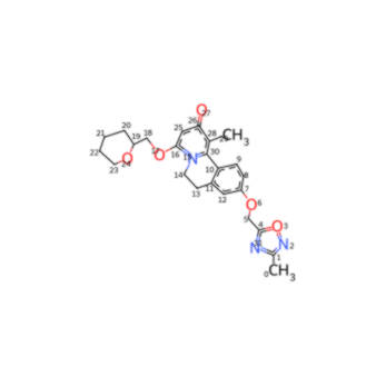 Cc1noc(COc2ccc3c(c2)CCn2c(OCC4CCCCO4)cc(=O)c(C)c2-3)n1